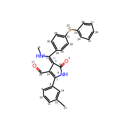 CN/C(=C1/C(=O)NC(c2cccc(C)c2)=C1C=O)c1ccc(Sc2ccccc2)cc1